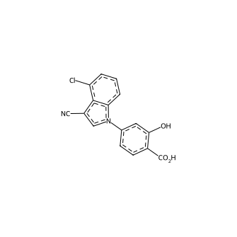 N#Cc1cn(-c2ccc(C(=O)O)c(O)c2)c2cccc(Cl)c12